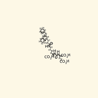 O=C(O)CC[C@H](NC(=O)N[C@@H](CCCCNC(=O)CCCCN(Cc1ccccn1)Cc1ccccn1)C(=O)O)C(=O)O